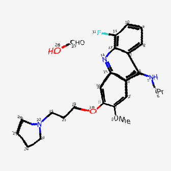 COc1cc2c(NC(C)C)c3cccc(F)c3nc2cc1OCCCN1CCCC1.O=CO